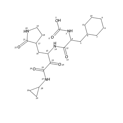 O=C(O)NC(CC1CCCCC1)C(=O)NC(CC1CCNC1=O)C(=O)C(=O)NC1CC1